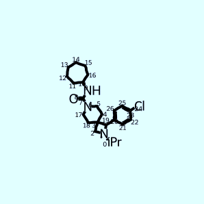 CC(C)N1CC2(CCN(C(=O)NC3CCCCCC3)CC2)C1c1ccc(Cl)cc1